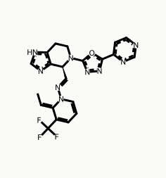 C/C=C1/C(C(F)(F)F)=CC=CN1/N=C/[C@H]1c2nc[nH]c2CCN1c1nnc(-c2ccncn2)o1